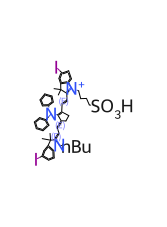 CCCCN1/C(=C/C=C2\CCC(/C=C/C3=[N+](CCCCS(=O)(=O)O)c4ccc(I)cc4C3(C)C)=C2N(c2ccccc2)c2ccccc2)C(C)(C)c2cc(I)ccc21